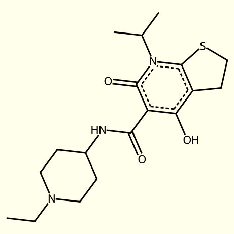 CCN1CCC(NC(=O)c2c(O)c3c(n(C(C)C)c2=O)SCC3)CC1